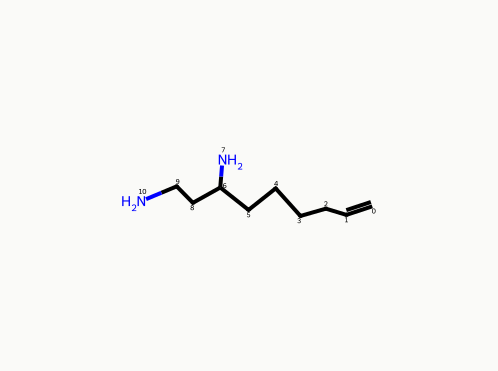 C=CCCCCC(N)CCN